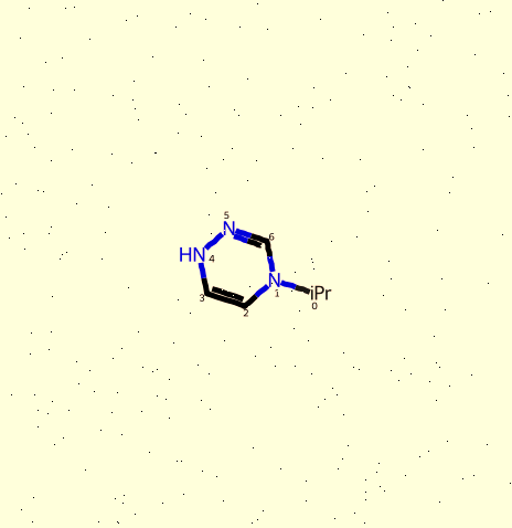 CC(C)N1C=CNN=C1